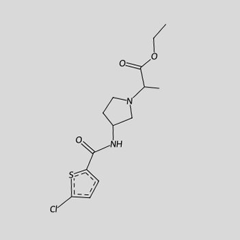 CCOC(=O)C(C)N1CCC(NC(=O)c2ccc(Cl)s2)C1